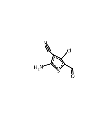 N#Cc1c(N)sc(C=O)c1Cl